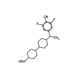 CCCCCCCCC1CCC(C2CCC(C(C)c3cc(F)c(C#N)c(F)c3)CC2)CC1